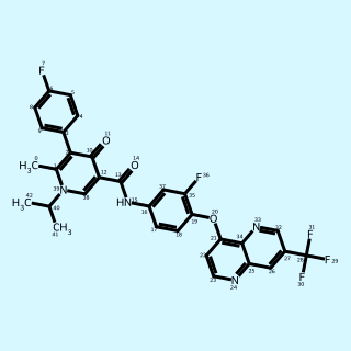 Cc1c(-c2ccc(F)cc2)c(=O)c(C(=O)Nc2ccc(Oc3ccnc4cc(C(F)(F)F)cnc34)c(F)c2)cn1C(C)C